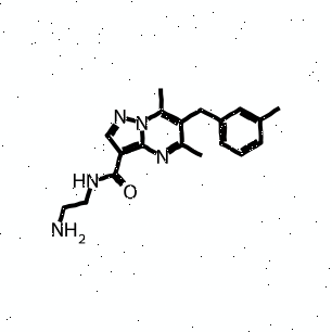 Cc1cccc(Cc2c(C)nc3c(C(=O)NCCN)cnn3c2C)c1